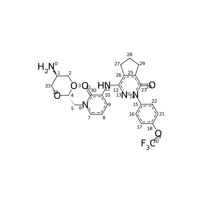 N[C@H]1CO[C@H](Cn2cccc(Nc3nn(-c4ccc(OC(F)(F)F)cc4)c(=O)c4c3CCC4)c2=O)OC1